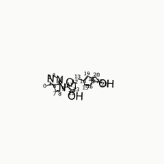 Cc1ncnc2c1ccn2[C@@H]1O[C@H](Cc2ccc3c(c2)CC3O)C[C@H]1O